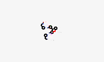 COC(=O)c1ccc(C(=O)O)cc1-c1c2cc(Cl)c(=O)c(CNc3cccc4ccc(CO)nc34)c-2oc2c(CNc3cccc4ccc(OC)nc34)c(O)ccc12